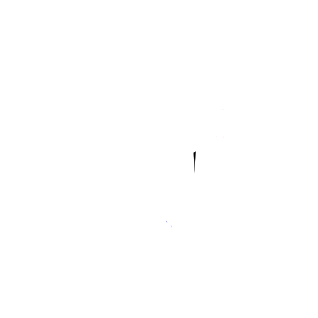 C=C[C@@H]1CN(Cc2ccccc2)C[C@@H](CO[Si](C)(C)C(C)(C)C)O1